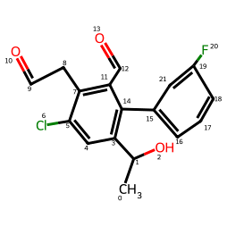 CC(O)c1cc(Cl)c(CC=O)c(C=O)c1-c1cccc(F)c1